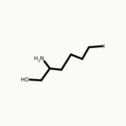 NC(CO)CCCCI